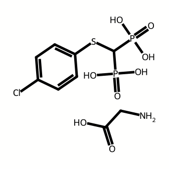 NCC(=O)O.O=P(O)(O)C(Sc1ccc(Cl)cc1)P(=O)(O)O